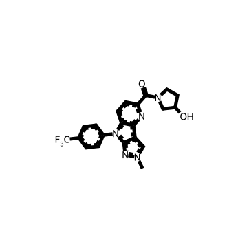 Cn1cc2c3nc(C(=O)N4CCC(O)C4)ccc3n(-c3ccc(C(F)(F)F)cc3)c2n1